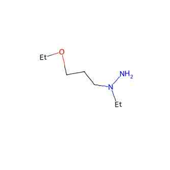 CCOCCCN(N)CC